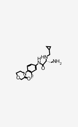 NC[C@@H](NCC1CC1)C(=O)Nc1ccc(N2CCOCC2=O)c(F)c1